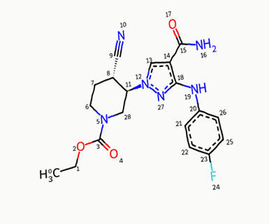 CCOC(=O)N1CC[C@H](C#N)[C@@H](n2cc(C(N)=O)c(Nc3ccc(F)cc3)n2)C1